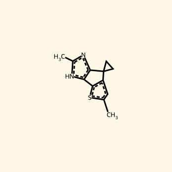 Cc1nc2c([nH]1)-c1sc(C)cc1C21CC1